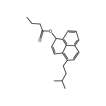 CCCC(=O)OC1C=Cc2c(CCC(C)C)ccc3cccc1c23